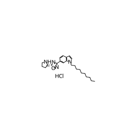 CCCCCCCCCCn1ccc2ccc(-c3noc([C@@H]4CCCN4)n3)cc21.Cl